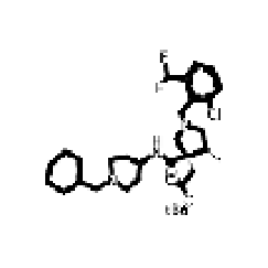 C[C@H]1CN(Cc2c(Cl)cccc2C(F)F)C[C@]1(CC(=O)OC(C)(C)C)C(=O)NC1CCN(CC2CCCCC2)CC1